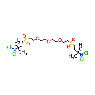 CC(C)(CCS(=O)(=O)CCOCCOCCOCCS(=O)(=O)CCC(C)(C)N(Cl)Cl)N(Cl)Cl